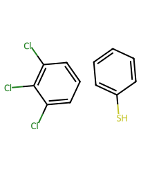 Clc1cccc(Cl)c1Cl.Sc1ccccc1